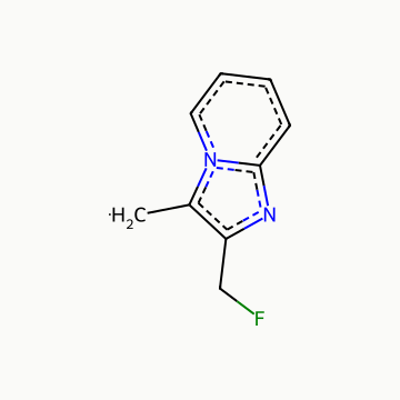 [CH2]c1c(CF)nc2ccccn12